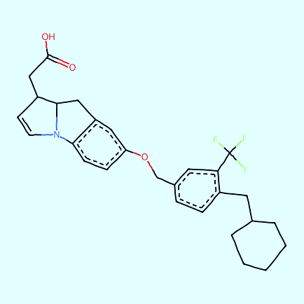 O=C(O)CC1C=CN2c3ccc(OCc4ccc(CC5CCCCC5)c(C(F)(F)F)c4)cc3CC12